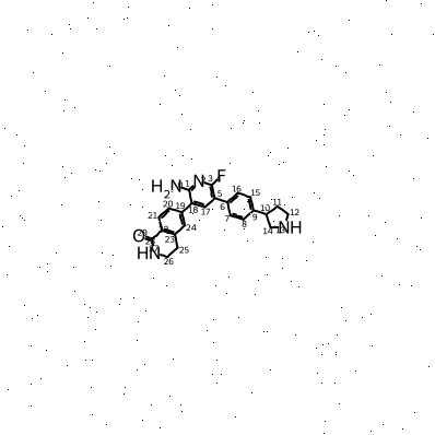 Nc1nc(F)c(-c2ccc(C3CCNC3)cc2)cc1-c1ccc2c(c1)CCNC2=O